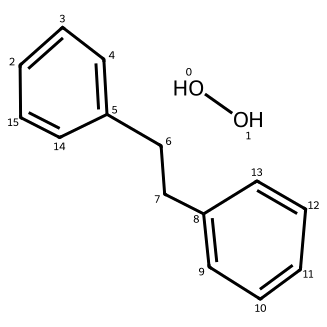 OO.c1ccc(CCc2ccccc2)cc1